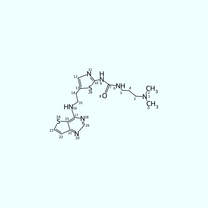 CN(C)CCCNC(=O)Nc1ncc(CCNc2ncnc3ccsc23)s1